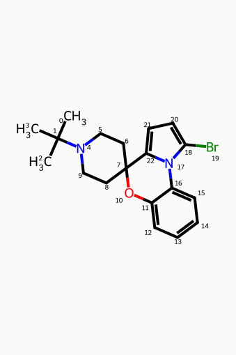 CC(C)(C)N1CCC2(CC1)Oc1ccccc1-n1c(Br)ccc12